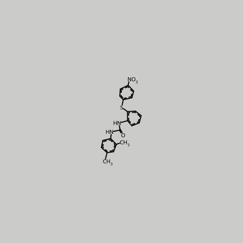 Cc1ccc(NC(=O)Nc2ccccc2Sc2ccc([N+](=O)[O-])cc2)c(C)c1